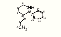 [CH2]CCC1CCCNC1c1ccccc1